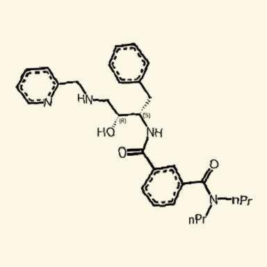 CCCN(CCC)C(=O)c1cccc(C(=O)N[C@@H](Cc2ccccc2)[C@H](O)CNCc2ccccn2)c1